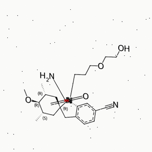 CO[C@H]1[C@H](C)C[C@@]2(Cc3ccc(C#N)cc3[C@]23N=C(N)N(CCCOCCO)C3=O)C[C@@H]1C